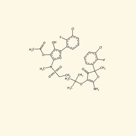 CC1(c2cccc(Cl)c2F)OC(N)=C(O[Si](C)(C)C)C1=O.CCS(=O)(=O)N(C)c1oc(-c2cccc(Cl)c2F)c(O)c1OC(C)=O